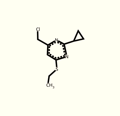 CCSc1cc(CCl)nc(C2CC2)n1